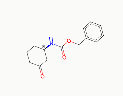 O=C1CCC[C@@H](NC(=O)OCc2ccccc2)C1